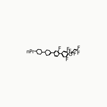 CCCC1CCC(C2CC=C(c3ccc(-c4cc(F)c(OC(F)(F)C=C(F)F)c(F)c4)c(F)c3)CC2)CC1